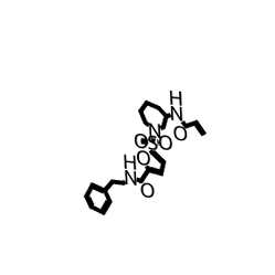 C=CC(=O)NC1CCCCN(S(=O)(=O)c2ccc(C(=O)NCCc3ccccc3)o2)C1